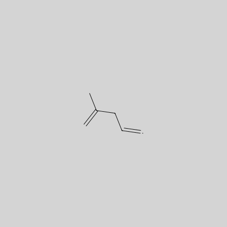 [CH]=CCC(=C)C